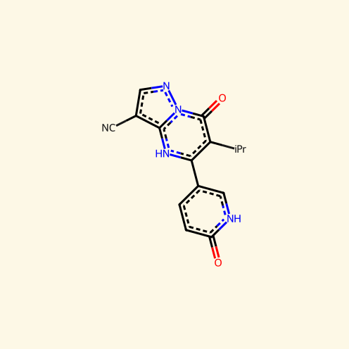 CC(C)c1c(-c2ccc(=O)[nH]c2)[nH]c2c(C#N)cnn2c1=O